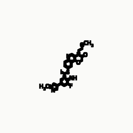 COCCN1C(=O)COc2c1cnc1ccc(SC(I)n3cc(-c4cnn(C)c4)cc(F)c3=N)cc21